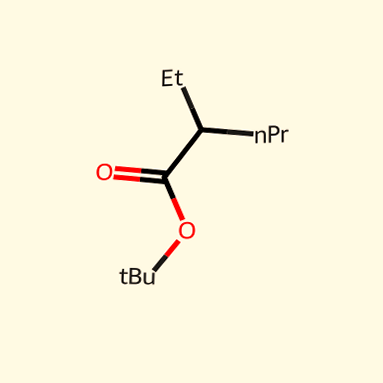 CCCC(CC)C(=O)OC(C)(C)C